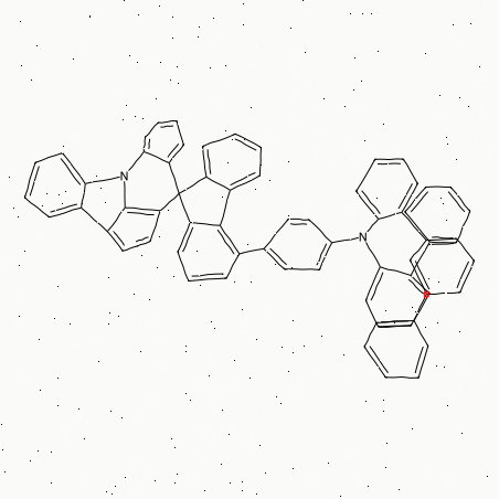 c1ccc(-c2cccc(-c3ccccc3N(c3ccc(-c4cccc5c4-c4ccccc4C54c5ccccc5-n5c6ccccc6c6cccc4c65)cc3)c3ccccc3-c3ccccc3)c2)cc1